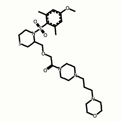 COc1cc(C)c(S(=O)(=O)N2CCSCC2COCC(=O)N2CCN(CCCN3CCOCC3)CC2)c(C)c1